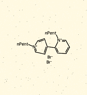 CCCCC[n+]1ccc(-c2cccc[n+]2CCCCC)cc1.[Br-].[Br-]